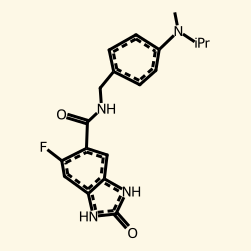 CC(C)N(C)c1ccc(CNC(=O)c2cc3[nH]c(=O)[nH]c3cc2F)cc1